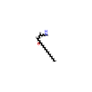 CCCCCCCCCCCCCCCCCC(=O)CCC(C)CCC(C)CCCNC